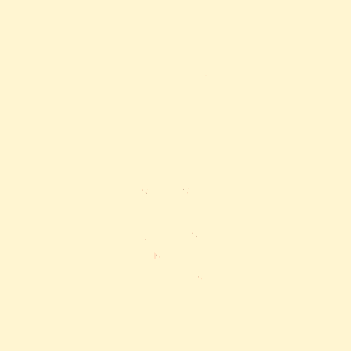 CC(CSCP(O)O)Cn1cnc2c(=O)[nH]c(N)nc21